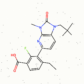 CCc1ccc(C(=O)O)c(F)c1-c1ccc2c(n1)n(C)c(=O)n2CC(C)(C)C